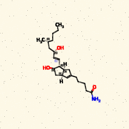 CCCC[C@@H](C)C[C@H](O)/C=C/[C@@H]1[C@H]2CC(CCCCC(N)=O)=C[C@H]2C[C@H]1O